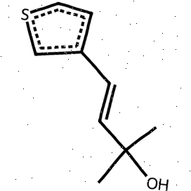 CC(C)(O)/C=C/c1ccsc1